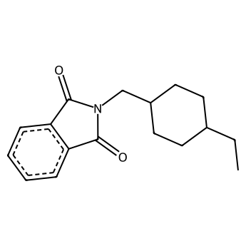 CCC1CCC(CN2C(=O)c3ccccc3C2=O)CC1